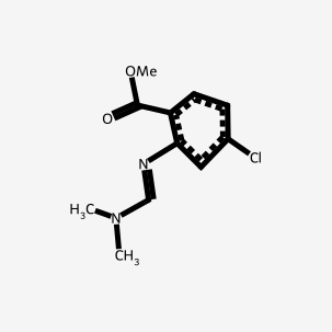 COC(=O)c1ccc(Cl)cc1/N=C/N(C)C